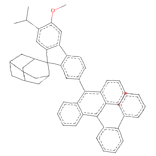 COc1cc2c(cc1C(C)C)C1(c3cc(-c4c5ccccc5c(-c5ccccc5-c5ccccc5)c5ccccc45)ccc3-2)C2CC3CC(C2)CC1C3